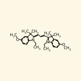 CCN1C(=CC=CC2=[N+](CC)c3ccc(OC)cc3C2(C)C)C(C)(C)c2cc(OC)ccc21